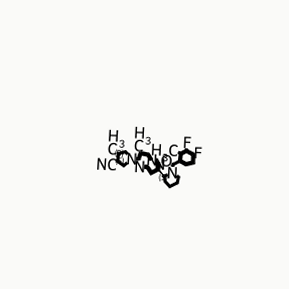 Cc1cn2nc([C@@H]3CCCCN3C(=O)c3ccc(F)c(F)c3C)cc2nc1N1C[C@@H](C#N)[C@@H](C)C1